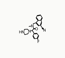 CN(Cc1cc(C#N)cc2ccccc12)C(=O)C(c1ccc(F)cc1)N1CCNCC1